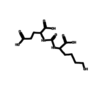 O=C(O)CCC(NC(=O)NC(CCCCO)C(=O)O)C(=O)O